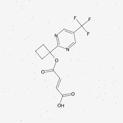 O=C(O)/C=C/C(=O)OC1(c2ncc(C(F)(F)F)cn2)CCC1